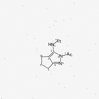 CCNc1c2c(nn1C(C)=O)CCC2